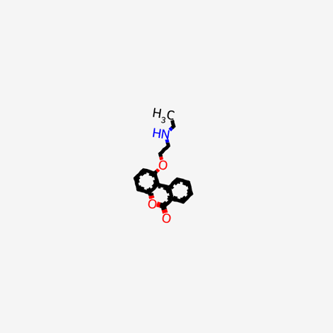 CCNCCOc1cccc2oc(=O)c3ccccc3c12